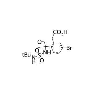 CC(C)(C)NS(=O)(=O)NC1(c2ccc(Br)cc2CC(=O)O)COC1